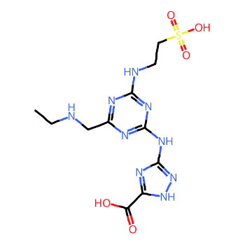 CCNCc1nc(NCCS(=O)(=O)O)nc(Nc2n[nH]c(C(=O)O)n2)n1